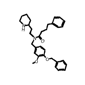 COc1cc(CN(CCC2CCCCN2)C(=O)CCCc2ccccc2)ccc1OCc1ccccc1